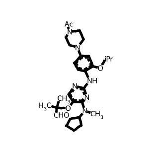 CC(=O)N1CCN(c2ccc(Nc3ncc(OC(C)(C)C=O)c(N(C)C4CCCC4)n3)c(OC(C)C)c2)CC1